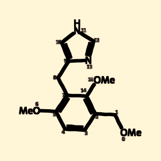 COCc1ccc(OC)c(Cc2c[nH]cn2)c1OC